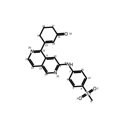 CS(=O)(=O)c1ccc(Nc2cc3c(C4=CC(=O)CCC4)nccc3cn2)cc1